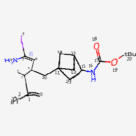 C=C(C(C)C)C(C)C(/C=C(\N)I)CC12CC(C1)C(NC(=O)OC(C)(C)C)C2